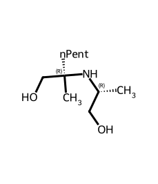 CCCCC[C@](C)(CO)N[C@H](C)CO